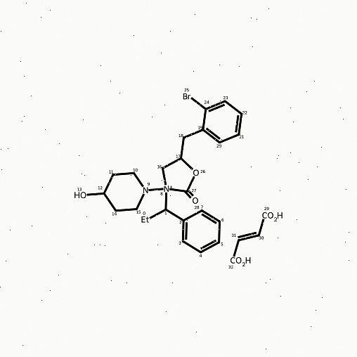 CCC(c1ccccc1)[N+]1(N2CCC(O)CC2)CC(Cc2ccccc2Br)OC1=O.O=C(O)/C=C/C(=O)O